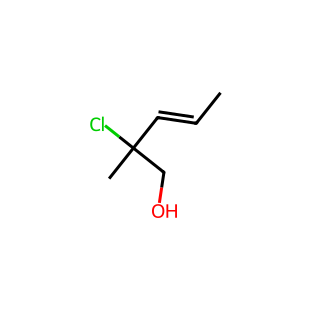 CC=CC(C)(Cl)CO